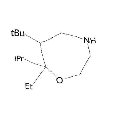 CCC1(C(C)C)OCCNCC1C(C)(C)C